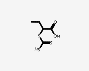 CCC(SC(=S)S)C(=O)O